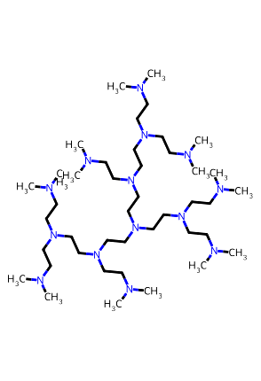 CN(C)CCN(CCN(C)C)CCN(CCN(C)C)CCN(CCN(CCN(C)C)CCN(C)C)CCN(CCN(C)C)CCN(CCN(C)C)CCN(C)C